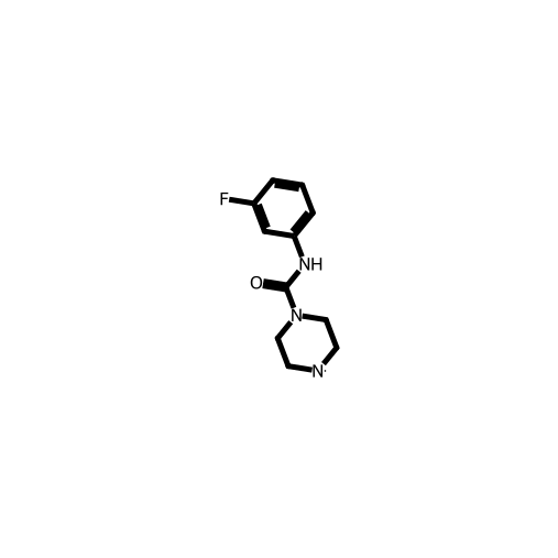 O=C(Nc1cccc(F)c1)N1CC[N]CC1